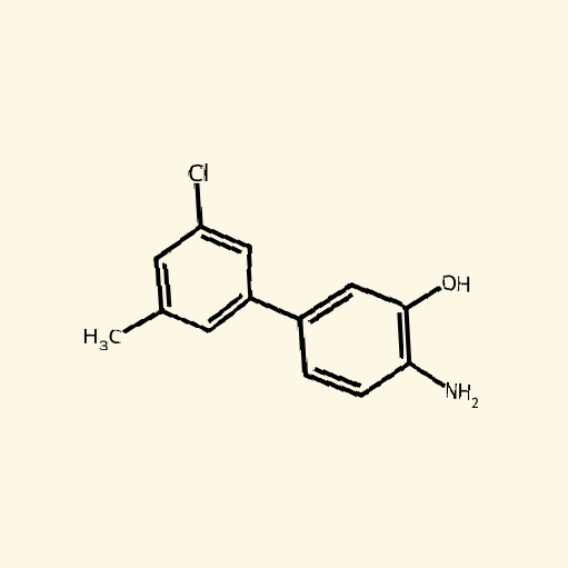 Cc1cc(Cl)cc(-c2ccc(N)c(O)c2)c1